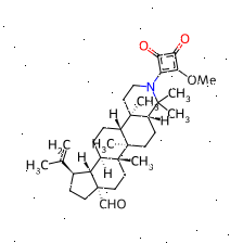 C=C(C)[C@@H]1CC[C@]2(C=O)CC[C@]3(C)[C@H](CC[C@@H]4[C@@]5(C)CCN(c6c(OC)c(=O)c6=O)C(C)(C)[C@@H]5CC[C@]43C)[C@@H]12